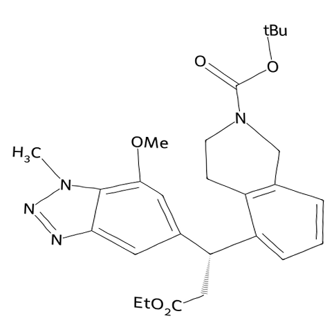 CCOC(=O)C[C@H](c1cc(OC)c2c(c1)nnn2C)c1cccc2c1CCN(C(=O)OC(C)(C)C)C2